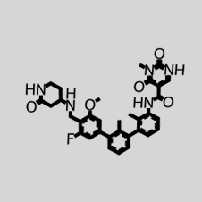 COc1cc(-c2cccc(-c3cccc(NC(=O)c4c[nH]c(=O)n(C)c4=O)c3C)c2C)cc(F)c1CNC1CCNC(=O)C1